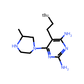 CC1CN(c2nc(N)nc(N)c2CCC(C)(C)C)CCN1